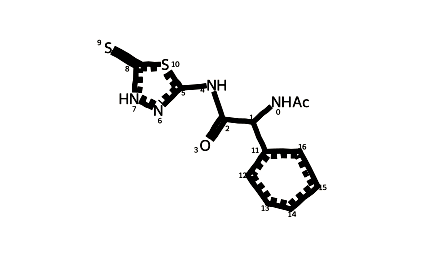 CC(=O)NC(C(=O)Nc1n[nH]c(=S)s1)c1ccccc1